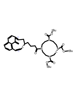 C=c1/c2ccc3cccc(c13)/C=C\CC(CCCC(=O)N1CCN(C(=O)OC(C)(C)C)CCN(C(=O)OC(C)(C)C)CCN(C(=O)OC(C)(C)C)CC1)C\C=2